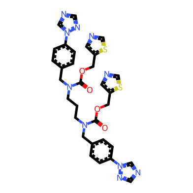 O=C(OCc1cncs1)N(CCCN(Cc1ccc(-n2cncn2)cc1)C(=O)OCc1cncs1)Cc1ccc(-n2cncn2)cc1